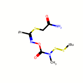 CC(C)C(=NOC(=O)N(C)SSC(C)(C)C)SCC(N)=O